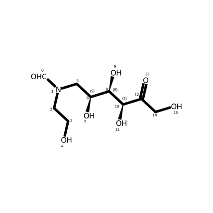 O=CN(CCO)C[C@H](O)[C@@H](O)[C@H](O)C(=O)CO